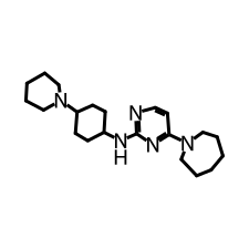 c1cc(N2CCCCCC2)nc(NC2CCC(N3CCCCC3)CC2)n1